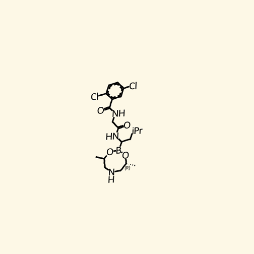 CC(C)CC(NC(=O)CNC(=O)c1cc(Cl)ccc1Cl)B1OC(C)CNC[C@@H](C)O1